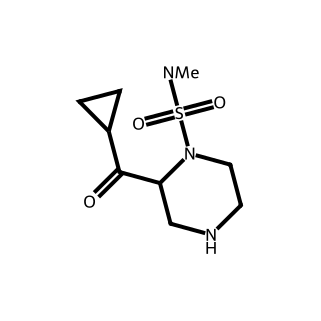 CNS(=O)(=O)N1CCNCC1C(=O)C1CC1